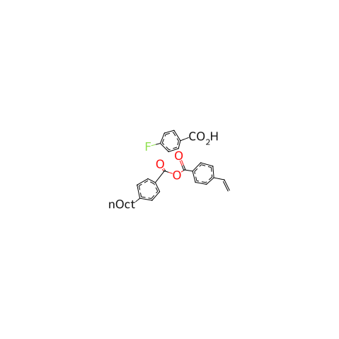 C=Cc1ccc(C(=O)OC(=O)c2ccc(CCCCCCCC)cc2)cc1.O=C(O)c1ccc(F)cc1